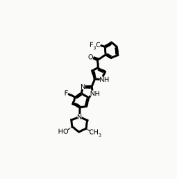 C[C@@H]1C[C@H](O)CN(c2cc(F)c3nc(-c4cc(C(=O)c5ccccc5C(F)(F)F)c[nH]4)[nH]c3c2)C1